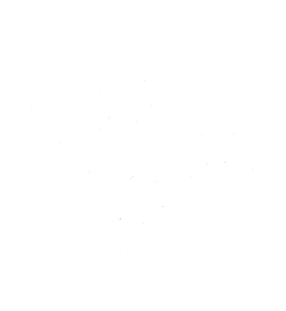 COc1ccc(/C(=C(\c2ccc(OC)cc2)c2ccc(C(F)(F)F)cc2)c2ccc(C(F)(F)F)cc2)cc1